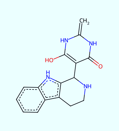 C=C1NC(=O)C(C2NCCc3c2[nH]c2ccccc32)=C(O)N1